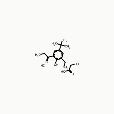 CCC(=O)c1cc(C(C)(C)C)cc(CN)c1O.Cl.O=C(O)CO